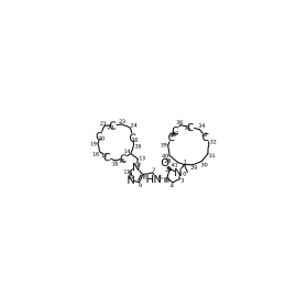 CC1(N2CC[C@H](NCc3cncn3CC3CCCCCCCCCCCC3)C2=O)CCCCCCCCCCCCC1